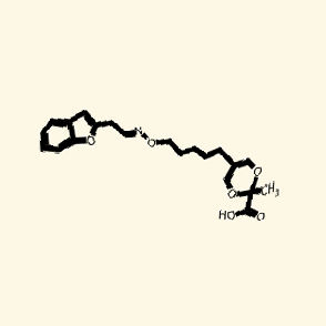 CC1(C(=O)O)OCC(CCCCCON=CCc2cc3ccccc3o2)CO1